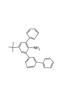 CC(C)(C)c1cc(-c2ccccc2)c(N)c(-c2cccc(-c3ccccc3)c2)c1